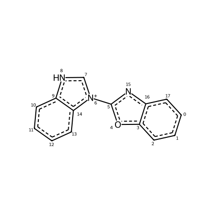 c1ccc2oc(-[n+]3c[nH]c4ccccc43)nc2c1